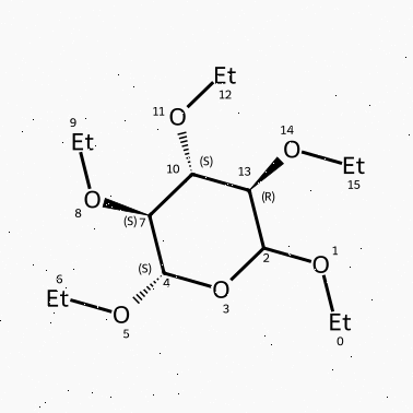 CCOC1O[C@H](OCC)[C@@H](OCC)[C@H](OCC)[C@H]1OCC